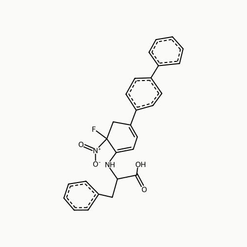 O=C(O)C(Cc1ccccc1)NC1=CC=C(c2ccc(-c3ccccc3)cc2)CC1(F)[N+](=O)[O-]